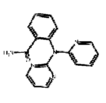 NC(=O)c1ccccc1N(c1ccccn1)c1ncccn1